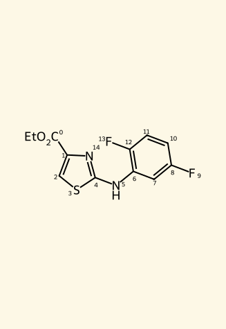 CCOC(=O)c1csc(Nc2cc(F)ccc2F)n1